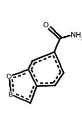 NC(=O)c1ccc2cboc2c1